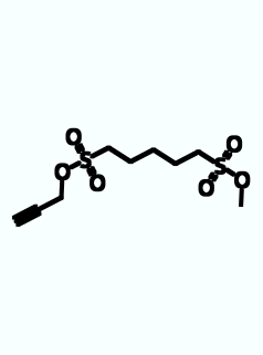 C#CCOS(=O)(=O)CCCCCS(=O)(=O)OC